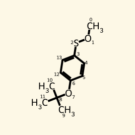 COSc1ccc(OC(C)(C)C)cc1